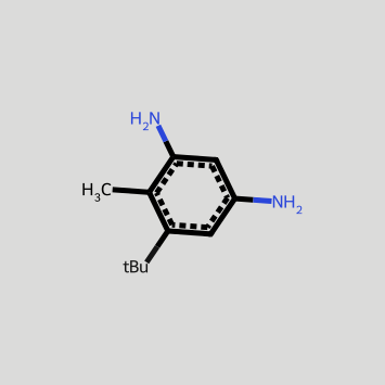 Cc1c(N)cc(N)cc1C(C)(C)C